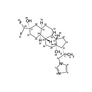 C=C(Cn1ccnc1)[C@H]1CC[C@H]2[C@@H]3CC[C@@H]4C[C@](O)(C(F)F)CC[C@@H]4[C@H]3CC[C@]12C